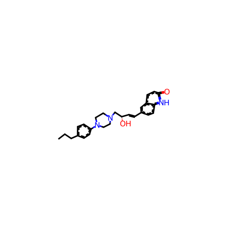 CCCc1ccc(N2CCN(C[C@@H](O)C=Cc3ccc4[nH]c(=O)ccc4c3)CC2)cc1